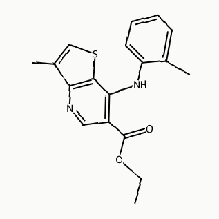 CCOC(=O)c1cnc2c(C)csc2c1Nc1ccccc1C